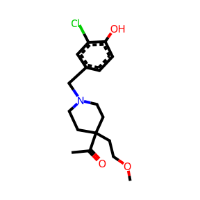 COCCC1(C(C)=O)CCN(Cc2ccc(O)c(Cl)c2)CC1